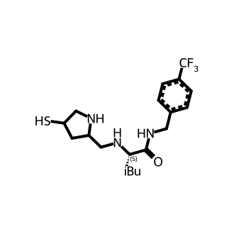 CCC(C)[C@H](NCC1CC(S)CN1)C(=O)NCc1ccc(C(F)(F)F)cc1